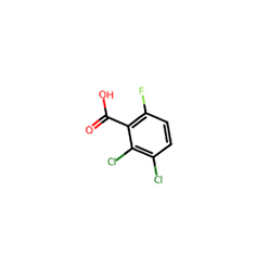 O=C(O)c1c(F)ccc(Cl)c1Cl